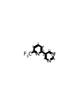 FC(F)(F)c1cccc(-c2cncnc2)n1